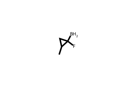 BC1(F)CC1C